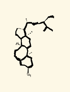 CC[C@H](CC[C@@H](C)[C@H]1CCC2[C@@H]3CC=C4C[C@H](O)CC[C@]4(C)C3CC[C@@]21C)C(C)C